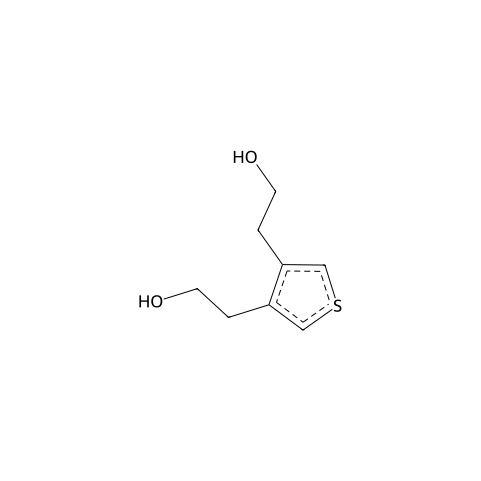 OCCc1cscc1CCO